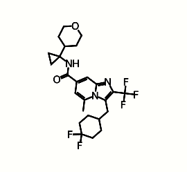 Cc1cc(C(=O)NC2(C3CCOCC3)CC2)cc2nc(C(F)(F)F)c(CC3CCC(F)(F)CC3)n12